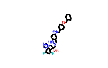 OC(CN1C=C2C=C(NCc3ccc(OCc4ccccc4)cc3)C=CC2N1)(Cn1cncn1)c1ccc(F)cc1F